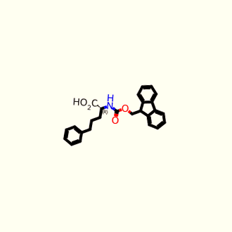 O=C(N[C@H](CCCc1ccccc1)C(=O)O)OCC1c2ccccc2-c2ccccc21